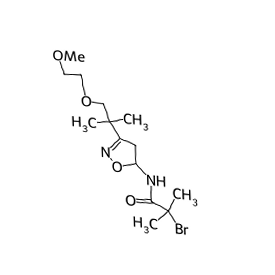 COCCOCC(C)(C)C1=NOC(NC(=O)C(C)(C)Br)C1